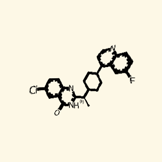 C[C@@H](c1nc2ccc(Cl)cc2c(=O)[nH]1)C1CCC(c2ccnc3ccc(F)cc23)CC1